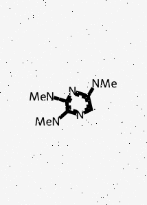 CNc1[c]nc(NC)c(NC)n1